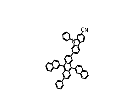 N#Cc1ccc2c3ccc(-c4ccc5c(-c6ccc7ccccc7c6)c6cc(-c7ccccc7)ccc6c(-c6ccc7ccccc7c6)c5c4)cc3n(-c3ccccc3)c2c1